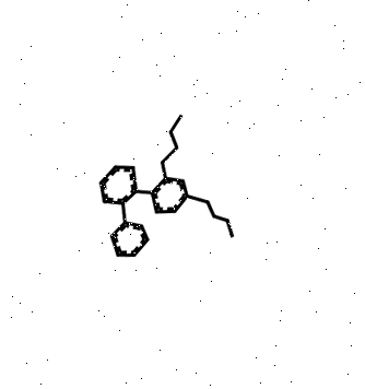 CCCCc1ccc(-c2ccccc2-c2ccccc2)c(CCCC)c1